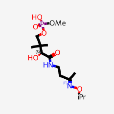 COP(=O)(O)OCC(C)(C)[C@H](O)C(=O)NCC/C(C)=N/OC(C)C